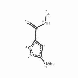 COc1cc(C(=O)NC(C)C)on1